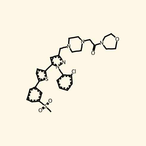 CS(=O)(=O)c1cccc(-c2ccc(-c3cc(CN4CCN(CC(=O)N5CCOCC5)CC4)nn3-c3ccccc3Cl)s2)c1